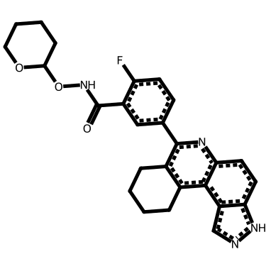 O=C(NOC1CCCCO1)c1cc(-c2nc3ccc4[nH]ncc4c3c3c2CCCC3)ccc1F